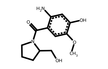 COc1cc(C(=O)N2CCCC2CO)c(N)cc1O